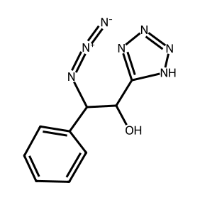 [N-]=[N+]=NC(c1ccccc1)C(O)c1nnn[nH]1